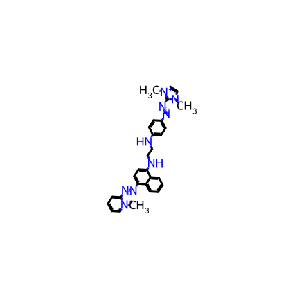 Cn1cc[n+](C)c1/N=N/c1ccc(NCCNc2ccc(/N=N/c3cccc[n+]3C)c3ccccc23)cc1